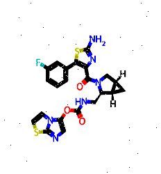 Nc1nc(C(=O)N2C[C@@H]3C[C@@H]3[C@H]2CNC(=O)Oc2cnc3sccn23)c(-c2cccc(F)c2)s1